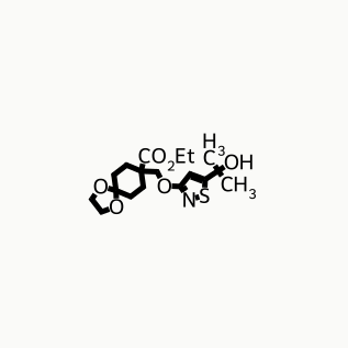 CCOC(=O)C1(COc2cc(C(C)(C)O)sn2)CCC2(CC1)OCCO2